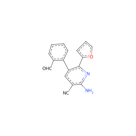 N#Cc1cc(-c2ccccc2C=O)c(-c2ccco2)nc1N